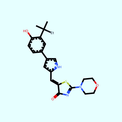 CCC(C)(C)c1cc(-c2c[nH]c(/C=C3\SC(N4CCOCC4)=NC3=O)c2)ccc1O